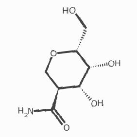 NC(=O)[C@H]1CO[C@H](CO)[C@H](O)[C@@H]1O